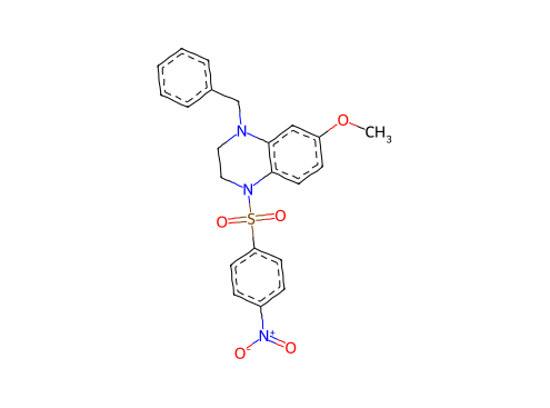 COc1ccc2c(c1)N(Cc1ccccc1)CCN2S(=O)(=O)c1ccc([N+](=O)[O-])cc1